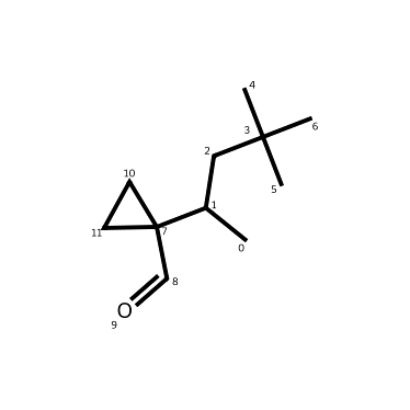 CC(CC(C)(C)C)C1(C=O)CC1